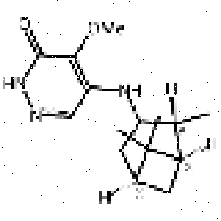 COc1c(NC2C[C@@H]3C[C@H]([C@H]2C)C3(C)C)cn[nH]c1=O